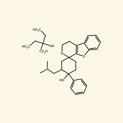 CN(C)CC1CC2(CCC1(O)c1ccccc1)OCCc1c2oc2ccccc12.O=C(O)CC(O)(CC(=O)O)C(=O)O